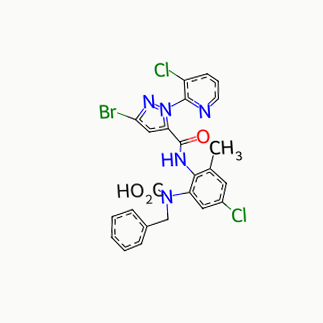 Cc1cc(Cl)cc(N(Cc2ccccc2)C(=O)O)c1NC(=O)c1cc(Br)nn1-c1ncccc1Cl